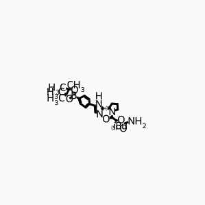 CC[C@H](C)C(OC(N)=O)C(=O)N1CCC[C@H]1c1ncc(-c2ccc(B3OC(C)(C)C(C)(C)O3)cc2)[nH]1